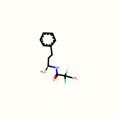 C[C@@H](CCc1ccccc1)NC(=O)C(C)(F)F